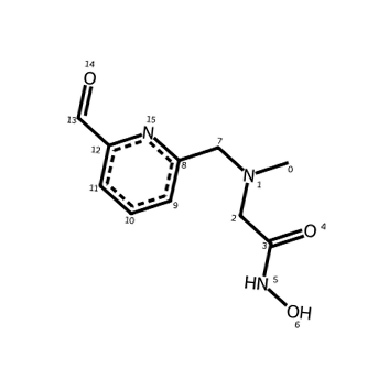 CN(CC(=O)NO)Cc1cccc(C=O)n1